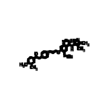 Cc1n[nH]c(Nc2ncnc3cc(OCCCN4CCN(CC(=O)N5CCN(C)[C@H](C)C5)CC4)c(SC(C)(C)C)cc23)c1C